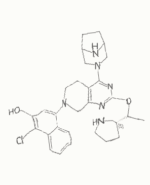 CC(Oc1nc2c(c(N3CC4CCC(C3)N4)n1)CCN(c1cc(O)c(Cl)c3ccccc13)C2)[C@@H]1CCCN1